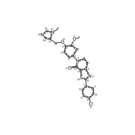 COc1cc(-n2ccc3nc(-c4ccc(Cl)cc4)sc3c2=O)ccc1OCc1cncn1C